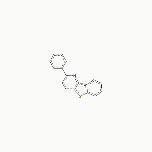 c1ccc(-c2ccc3sc4ccccc4c3n2)cc1